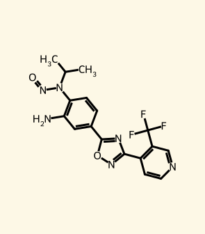 CC(C)N(N=O)c1ccc(-c2nc(-c3ccncc3C(F)(F)F)no2)cc1N